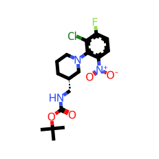 CC(C)(C)OC(=O)NC[C@@H]1CCCN(c2c([N+](=O)[O-])ccc(F)c2Cl)C1